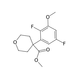 COC(=O)C1(c2cc(F)cc(OC)c2F)CCOCC1